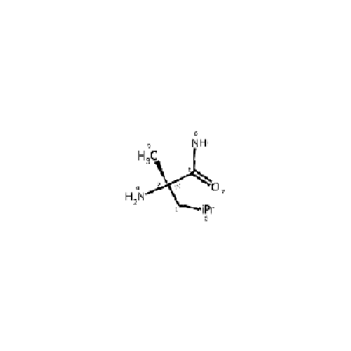 CC(C)C[C@](C)(N)C([NH])=O